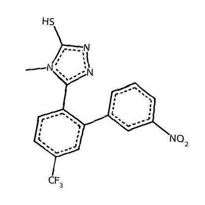 Cn1c(S)nnc1-c1ccc(C(F)(F)F)cc1-c1cccc([N+](=O)[O-])c1